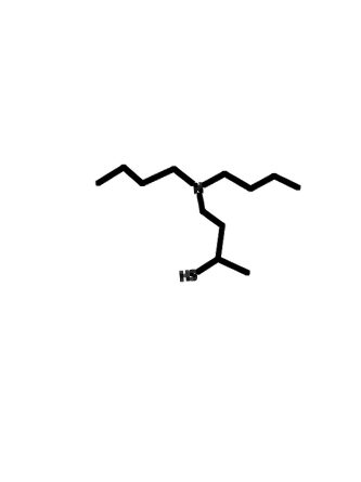 CCCCN(CCCC)CCC(C)S